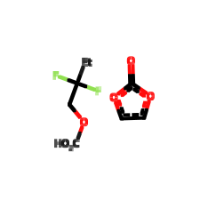 CCC(F)(F)COC(=O)O.O=c1occo1